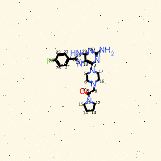 Nc1nc(N2CCN(CC(=O)N3CCCC3)CC2)c2nc(-c3ccc(F)cc3)[nH]c2n1